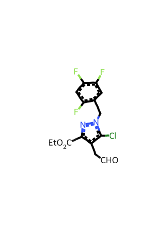 CCOC(=O)c1nn(Cc2cc(F)c(F)cc2F)c(Cl)c1CC=O